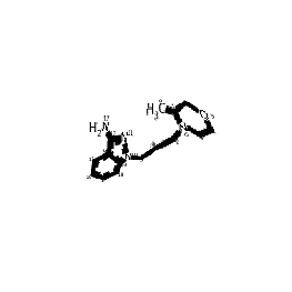 CC1COCCN1CCCn1nc(N)c2ccccc21